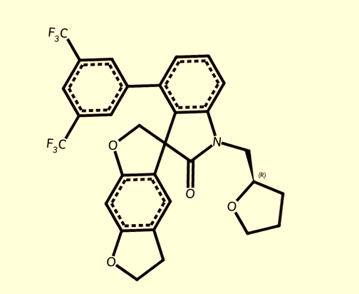 O=C1N(C[C@H]2CCCO2)c2cccc(-c3cc(C(F)(F)F)cc(C(F)(F)F)c3)c2C12COc1cc3c(cc12)CCO3